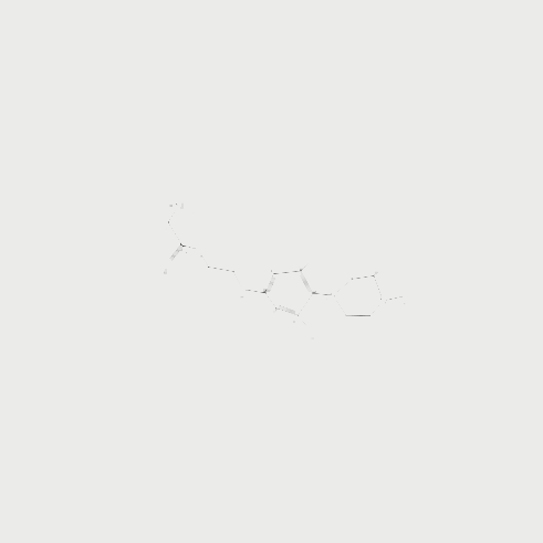 CC(C)N1CCN(c2c(F)cc(OCCOC(=O)[C@H](C)N)cc2F)CC1